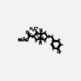 C[C@H]1[C@@H]2CN(Cc3ccc(F)cc3)C[C@@H]2CN1C(=O)OC(C)(C)C